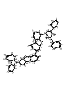 c1ccc(C2=NC(c3cccc4c3oc3cc(-c5cccc6c5oc5cc(-n7c8ccccc8c8ccccc87)ccc56)ccc34)=NC(c3ccccc3)N2)cc1